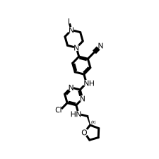 N#Cc1cc(Nc2ncc(Cl)c(NC[C@H]3CCCO3)n2)ccc1N1CCN(I)CC1